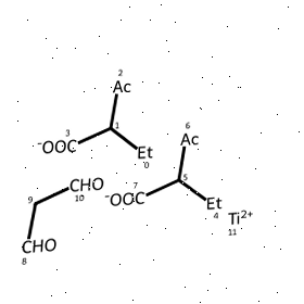 CCC(C(C)=O)C(=O)[O-].CCC(C(C)=O)C(=O)[O-].O=CCC=O.[Ti+2]